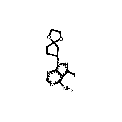 Nc1ncnc2c1c(I)nn2C1CCC2(C1)OCCO2